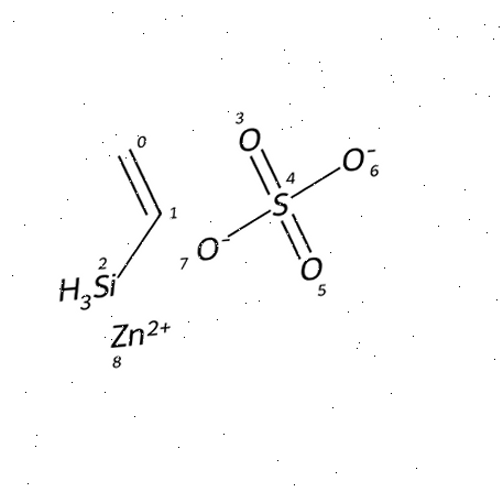 C=C[SiH3].O=S(=O)([O-])[O-].[Zn+2]